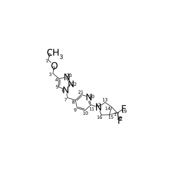 CCOCc1cn(Cc2ccc(N3CC4C(C3)C4(F)F)nc2)nn1